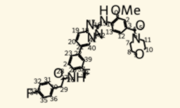 COc1cc(C(=O)N2CCOCC2)ccc1Nc1nc2ccc(-c3ccc(NC(=O)Cc4ccc(F)cc4)c(F)c3)cn2n1